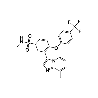 CNS(=O)(=O)C1C=CC(Oc2ccc(C(F)(F)F)cc2)=C(c2cnc3c(C)cccn23)C1